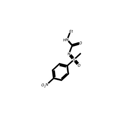 CCNC(=O)N=S(C)(=O)c1ccc([N+](=O)[O-])cc1